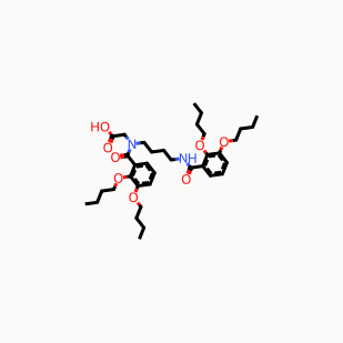 CCCCOc1cccc(C(=O)NCCCCN(CC(=O)O)C(=O)c2cccc(OCCCC)c2OCCCC)c1OCCCC